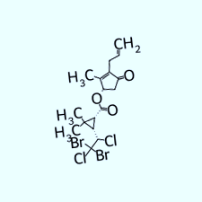 C=CCC1=C(C)[C@@H](OC(=O)[C@@H]2[C@H](C(Cl)C(Cl)(Br)Br)C2(C)C)CC1=O